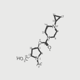 CC(=O)N1C[C@H](OC(=O)N2CCN(C3CC3)CC2)C[C@H]1C(=O)O